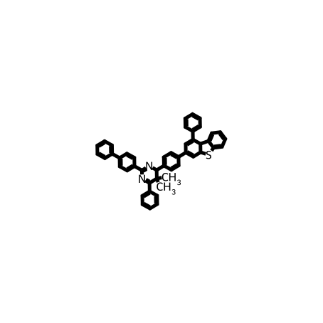 CC1(C)C(c2ccccc2)=NC(c2ccc(-c3ccccc3)cc2)=NC1c1ccc(C2=CC3Sc4ccccc4C3C(c3ccccc3)=C2)cc1